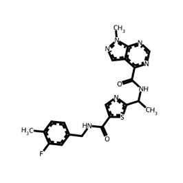 Cc1ccc(CNC(=O)c2cnc(C(C)NC(=O)c3ncnc4c3cnn4C)s2)cc1F